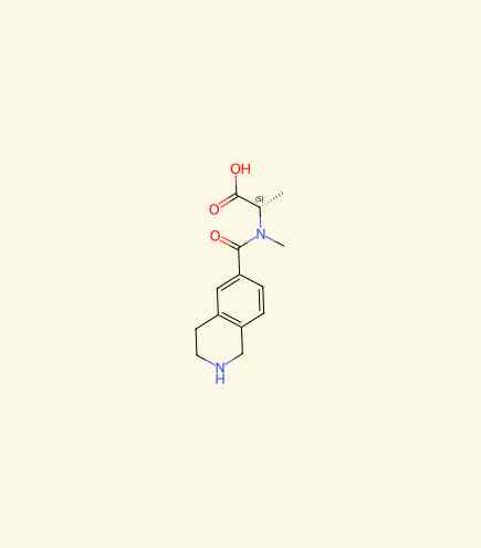 C[C@@H](C(=O)O)N(C)C(=O)c1ccc2c(c1)CCNC2